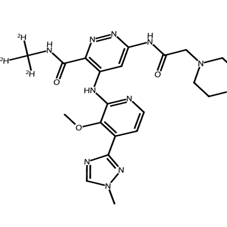 [2H]C([2H])([2H])NC(=O)c1nnc(NC(=O)CN2CCOCC2)cc1Nc1nccc(-c2ncn(C)n2)c1OC